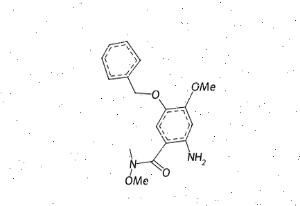 COc1cc(N)c(C(=O)N(C)OC)cc1OCc1ccccc1